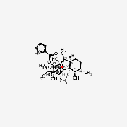 CC(C)[C@@]1(O)[C@@H](OC(=O)c2ccc[nH]2)[C@@]2(O)[C@@]3(C)CC(O)(O)[C@@]1(C)[C@]2(O)[C@]1(C)[C@H](O)[C@@H](C)CC[C@]31O